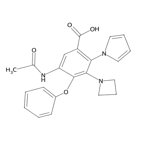 CC(=O)Nc1cc(C(=O)O)c(-n2cccc2)c(N2CCC2)c1Oc1ccccc1